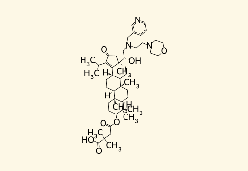 CC(C)C1=C2[C@H]3CC[C@@H]4[C@@]5(C)CC[C@H](OC(=O)CC(C)(C)C(=O)O)C(C)(C)[C@@H]5CC[C@@]4(C)[C@]3(C)CC[C@@]2([C@@H](O)CN(CCN2CCOCC2)Cc2cccnc2)CC1=O